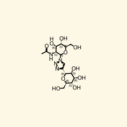 CC(=O)N[C@H]1[C@@H](O)[C@H](O)[C@@H](CO)O[C@H]1n1cc([C@H]2O[C@H](CO)[C@@H](O)[C@H](O)[C@@H]2O)nn1